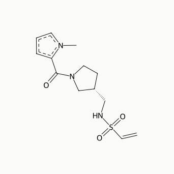 C=CS(=O)(=O)NC[C@H]1CCN(C(=O)c2cccn2C)C1